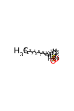 CCCCCCCCCCCCc1ccccc1[S](=O)(=O)[Ti]